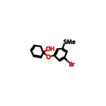 CSc1cc(Br)cc(OC2(O)C=CC=CC2)c1